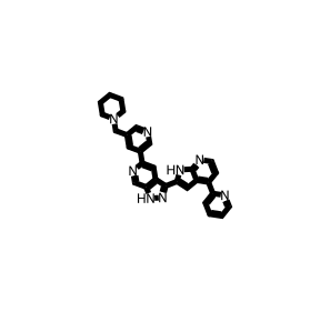 c1ccc(-c2ccnc3[nH]c(-c4n[nH]c5cnc(-c6cncc(CN7CCCCC7)c6)cc45)cc23)nc1